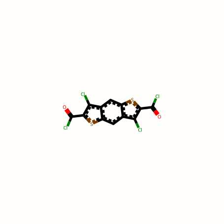 O=C(Cl)c1sc2cc3c(Cl)c(C(=O)Cl)sc3cc2c1Cl